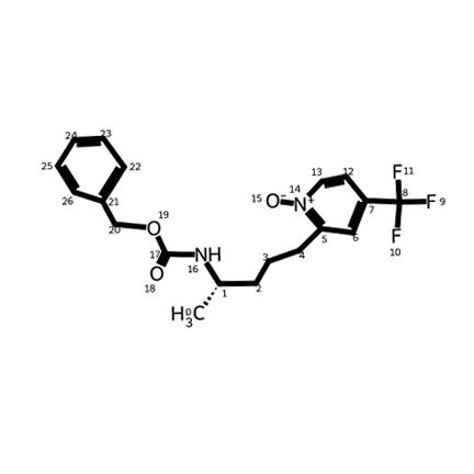 C[C@@H](CCCc1cc(C(F)(F)F)cc[n+]1[O-])NC(=O)OCc1ccccc1